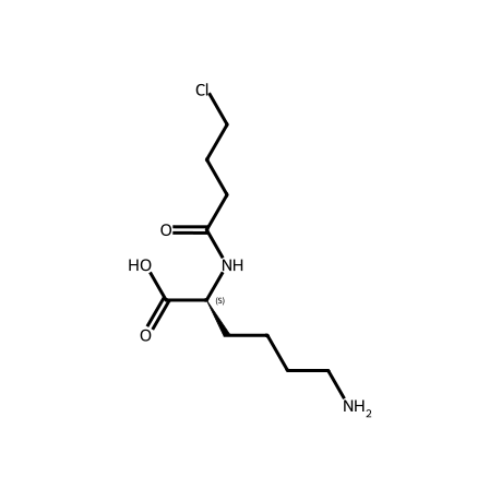 NCCCC[C@H](NC(=O)CCCCl)C(=O)O